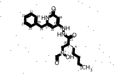 CCCCC[C@H](CN(O)C=O)C(=O)NNc1cc(Cc2ccccc2)[nH]c(=O)c1